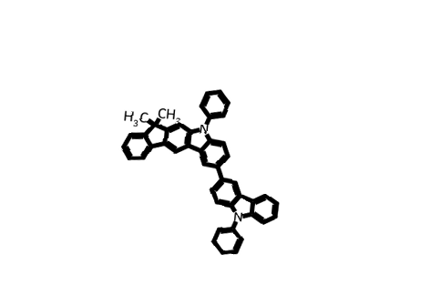 CC1(C)c2ccccc2-c2cc3c4cc(-c5ccc6c(c5)c5ccccc5n6C5=CCCC=C5)ccc4n(-c4ccccc4)c3cc21